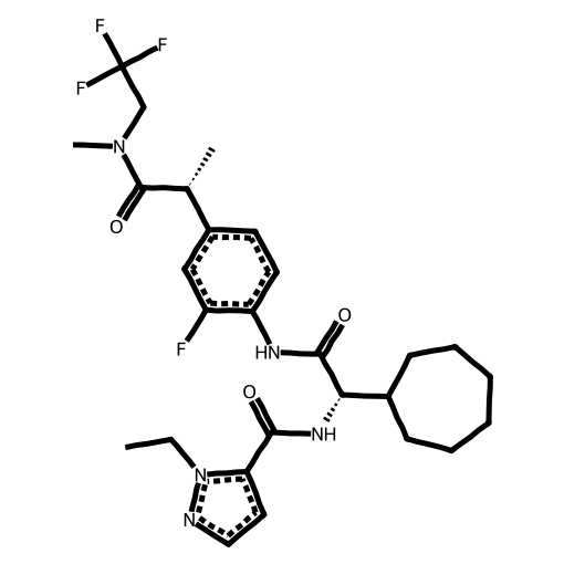 CCn1nccc1C(=O)N[C@H](C(=O)Nc1ccc([C@@H](C)C(=O)N(C)CC(F)(F)F)cc1F)C1CCCCCC1